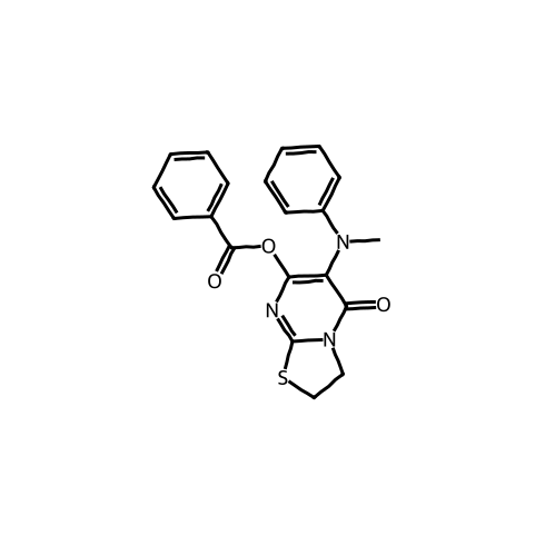 CN(c1ccccc1)c1c(OC(=O)c2ccccc2)nc2n(c1=O)CCS2